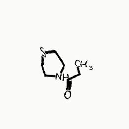 C1CSCCN1.CCC=O